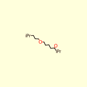 CC(C)CCCOCCCCC(=O)C(C)C